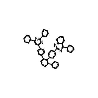 c1ccc(-c2cc(-c3ccc(-c4cccc(-c5ccccc5)c4-c4ccc(-c5nc(-c6ccccc6)c6ccccc6n5)cc4)cc3)nc(-c3ccccc3)n2)cc1